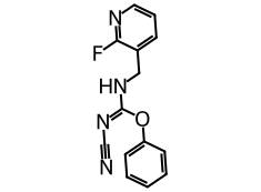 N#C/N=C(/NCc1cccnc1F)Oc1ccccc1